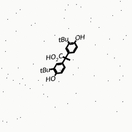 CC(C)(C)c1cc(C(C)(C(=O)O)c2ccc(O)c(C(C)(C)C)c2)ccc1O